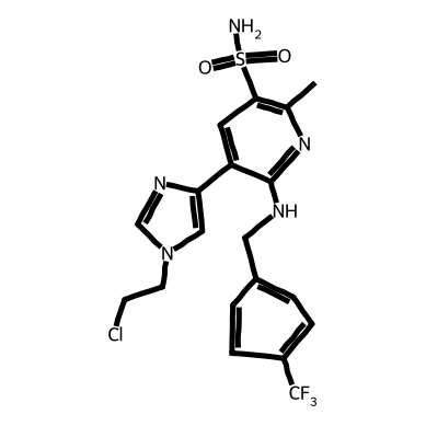 Cc1nc(NCc2ccc(C(F)(F)F)cc2)c(-c2cn(CCCl)cn2)cc1S(N)(=O)=O